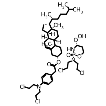 CC(C)CCC[C@@H](C)[C@H]1CC[C@H]2[C@@H]3CC=C4C[C@@H](OC(=O)Cc5ccc(N(CCCl)CCCl)cc5)CC[C@]4(C)[C@H]3CC[C@]12C.O=[P@]1(N(CCCl)CCCl)N[C@H](OO)CCO1